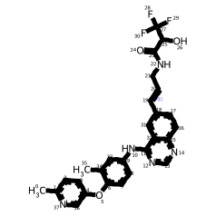 Cc1ccc(Oc2ccc(Nc3ncnc4ccc(/C=C/CNC(=O)C(O)C(F)(F)F)cc34)cc2C)cn1